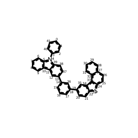 c1ccc(-n2c3ccccc3c3cc(-c4cccc(-c5ccc6sc7ccc8ccccc8c7c6c5)c4)ccc32)cc1